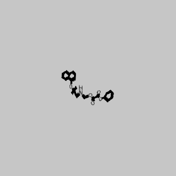 CC(C)(CNCOC(=O)C(=O)Oc1ccccc1)Oc1cccc2ccccc12